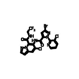 O=C(Nc1c(Cl)cc2ccnn2c1C(=O)NCC(F)(F)F)c1cc(Br)nn1-c1ncccc1Cl